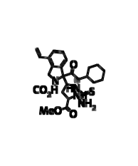 C=Cc1cccc2c1CN(C(=O)O)C2(C(=O)[C@@H](NC(N)=S)C1CCCCC1)C1CNC(C(=O)OC)C1